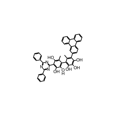 Cc1c(-c2ccc3c4ccccc4c4ccccc4c3c2)c(O)c(O)c(O)c1-c1c(C)c(O)c(-c2nc(-c3ccccc3)nc(-c3ccccc3)n2)c(O)c1O